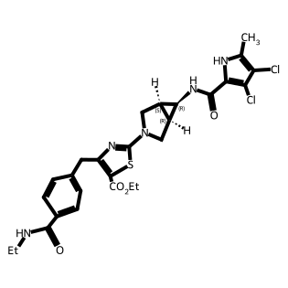 CCNC(=O)c1ccc(Cc2nc(N3C[C@@H]4[C@H](C3)[C@@H]4NC(=O)c3[nH]c(C)c(Cl)c3Cl)sc2C(=O)OCC)cc1